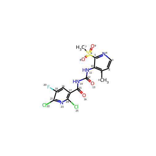 Cc1ccnc(S(C)(=O)=O)c1NC(=O)NC(=O)c1cc(F)c(Cl)nc1Cl